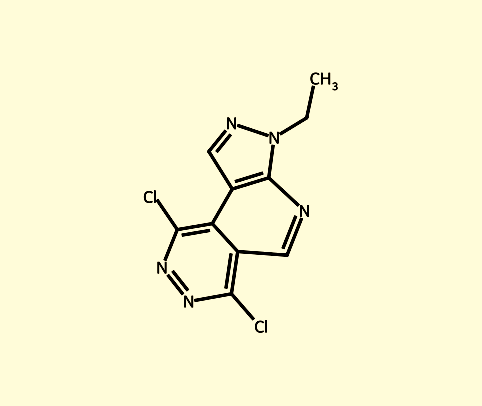 CCn1ncc2c3c(Cl)nnc(Cl)c3cnc21